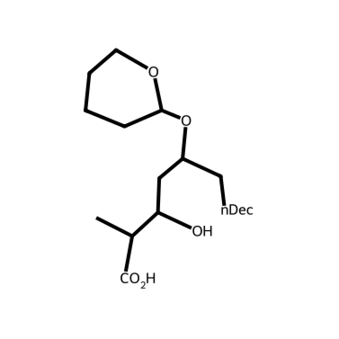 CCCCCCCCCCCC(CC(O)C(C)C(=O)O)OC1CCCCO1